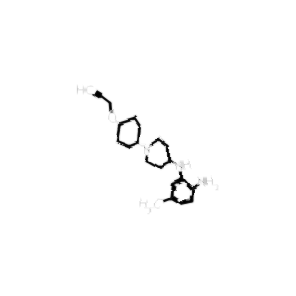 C#CCO[C@H]1CC[C@H](N2CCC(Nc3cc(C)ccc3N)CC2)CC1